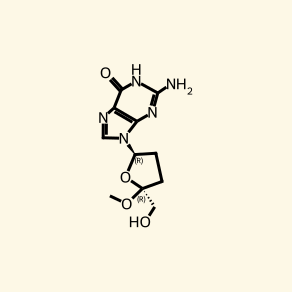 CO[C@]1(CO)CC[C@H](n2cnc3c(=O)[nH]c(N)nc32)O1